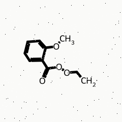 [CH2]COOC(=O)c1ccccc1OC